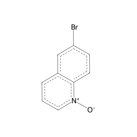 [O-][n+]1cccc2cc(Br)ccc21